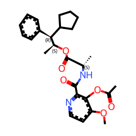 COc1ccnc(C(=O)N[C@@H](C)C(=O)O[C@@H](C)[C@@H](c2ccccc2)C2CCCC2)c1OC(C)=O